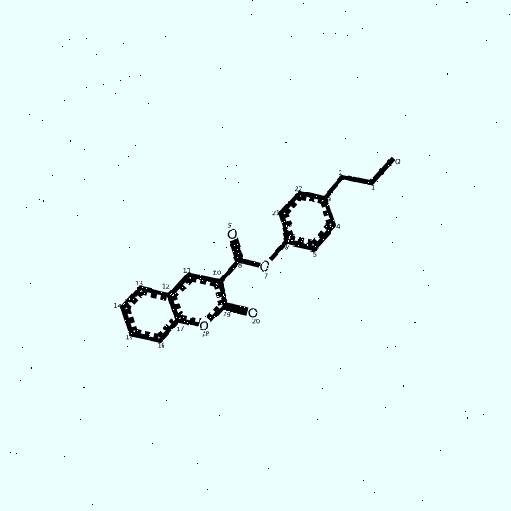 CCCc1ccc(OC(=O)c2cc3ccccc3oc2=O)cc1